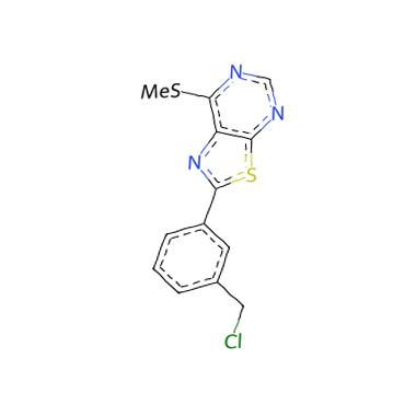 CSc1ncnc2sc(-c3cccc(CCl)c3)nc12